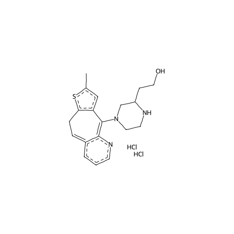 Cc1cc2c(s1)CC=c1cccnc1=C2N1CCNC(CCO)C1.Cl.Cl